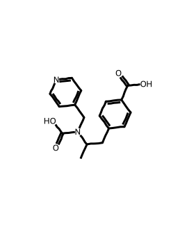 CC(Cc1ccc(C(=O)O)cc1)N(Cc1ccncc1)C(=O)O